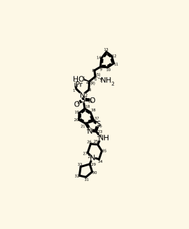 CC(C)CN(C[C@@H](O)[C@@H](N)Cc1ccccc1)S(=O)(=O)c1ccc2nc(NC3CCN(C4CCCC4)CC3)sc2c1